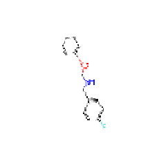 Fc1ccc(CNCOc2ccccc2)cc1